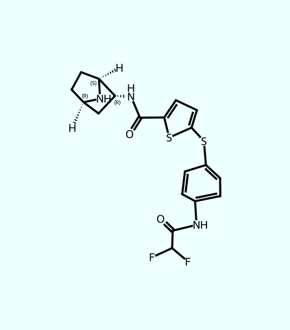 O=C(N[C@@H]1C[C@H]2CC[C@@H]1N2)c1ccc(Sc2ccc(NC(=O)C(F)F)cc2)s1